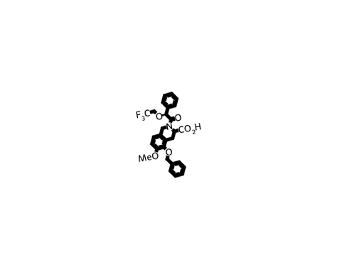 COc1ccc2c(c1OCc1ccccc1)CC(C(=O)O)N(C(=O)[C@@H](OCC(F)(F)F)c1ccccc1)C2